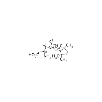 CC1(C)CCC(C)(C)C1OCC1(NC(=O)[C@@H](N)CC(=O)O)CC1